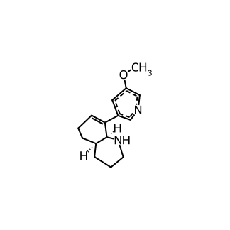 COc1cncc(C2=CCC[C@@H]3CCCN[C@H]23)c1